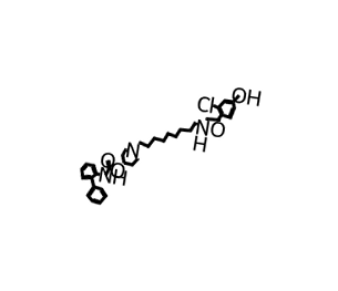 O=C(Nc1ccccc1-c1ccccc1)OC1CCN(CCCCCCCCCNCC(=O)c2ccc(O)cc2Cl)CC1